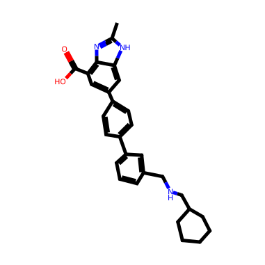 Cc1nc2c(C(=O)O)cc(-c3ccc(-c4cccc(CNCC5CCCCC5)c4)cc3)cc2[nH]1